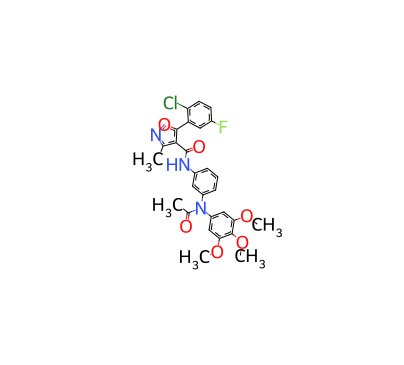 COc1cc(N(C(C)=O)c2cccc(NC(=O)c3c(C)noc3-c3cc(F)ccc3Cl)c2)cc(OC)c1OC